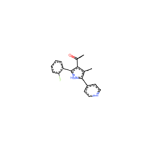 CC(=O)c1c(-c2ccccc2F)[nH]c(-c2ccncc2)c1C